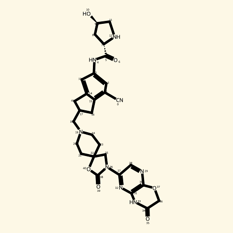 N#Cc1cc(NC(=O)[C@@H]2C[C@@H](O)CN2)cc2c1CC(CN1CCC3(CC1)CN(c1cnc4c(n1)NC(=O)CO4)C(=O)O3)C2